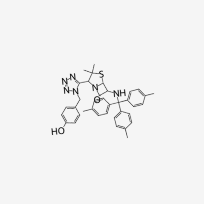 Cc1ccc(C(NC2C(=O)N3C2SC(C)(C)C3c2nnnn2Cc2ccc(O)cc2)(c2ccc(C)cc2)c2ccc(C)cc2)cc1